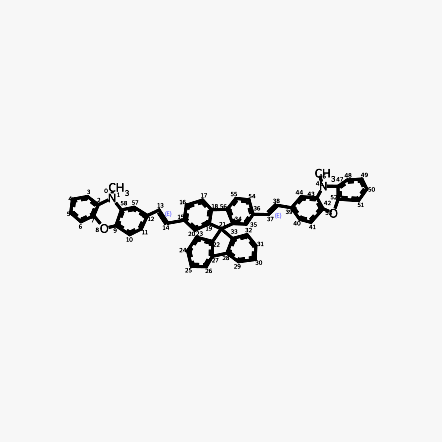 CN1c2ccccc2Oc2ccc(/C=C/c3ccc4c(c3)C3(c5ccccc5-c5ccccc53)c3cc(/C=C/c5ccc6c(c5)N(C)c5ccccc5O6)ccc3-4)cc21